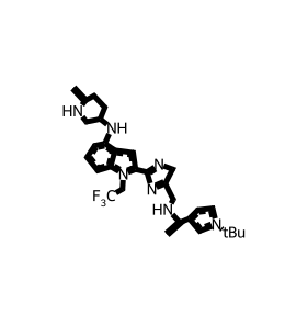 C=C1CCC(Nc2cccc3c2cc(C2=NCC(CNC(=C)c4ccn(C(C)(C)C)c4)=N2)n3CC(F)(F)F)CN1